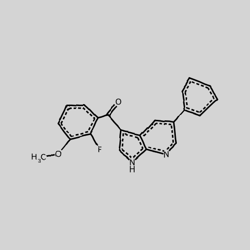 COc1cccc(C(=O)c2c[nH]c3ncc(-c4ccccc4)cc23)c1F